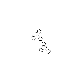 Clc1ccnc2c1nc(-c1ccc(-c3ccc(-n4c(-c5ccccc5)nc5ccccc54)cc3)cc1)n2-c1ccccc1